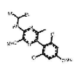 CCC(CC)Nc1nc(C)c(-c2c(Cl)cc(OC)cc2Cl)nc1OC